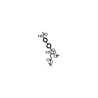 CC(=O)Nc1ccc(-c2ccc(C(=O)NC(CCC(=O)OC(C)(C)C)C(=O)OC(C)(C)C)cc2)cc1